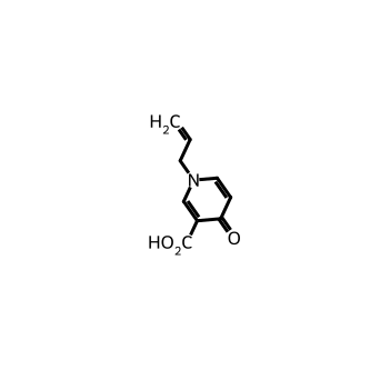 C=CCn1ccc(=O)c(C(=O)O)c1